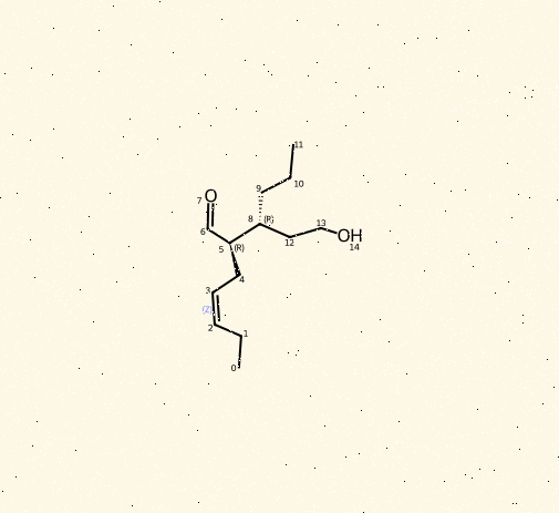 CC/C=C\C[C@@H](C=O)[C@H](CCC)CCO